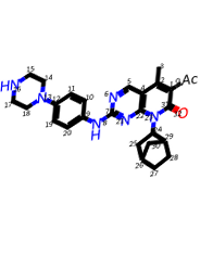 CC(=O)c1c(C)c2cnc(Nc3ccc(N4CCNCC4)cc3)nc2n(C2CC3CCC2C3)c1=O